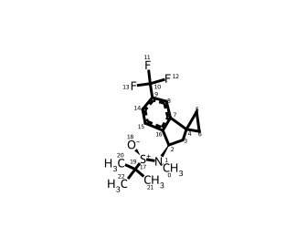 CN([C@@H]1CC2(CC2)c2cc(C(F)(F)F)ccc21)[S@+]([O-])C(C)(C)C